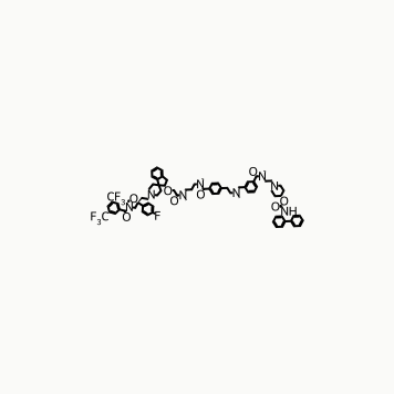 CN(CCc1ccc(C(=O)N(C)CCCN(C)C(=O)CO[C@H]2Cc3ccccc3C23CCN(CC[C@@]2(c4ccc(F)cc4)CN(C(=O)c4cc(C(F)(F)F)cc(C(F)(F)F)c4)CO2)CC3)cc1)Cc1cccc(C(=O)N(C)CCN2CCC(OC(=O)Nc3ccccc3-c3ccccc3)CC2)c1